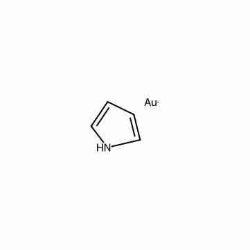 [Au].c1cc[nH]c1